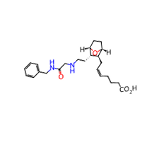 O=C(O)CCC/C=C\C[C@H]1[C@H](CCNCC(=O)NCc2ccccc2)[C@@H]2CC[C@H]1O2